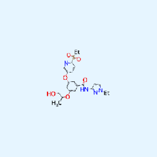 CCn1ccc(NC(=O)c2cc(Oc3ccc(S(=O)(=O)CC)nc3)cc(O[C@@H](C)CO)c2)n1